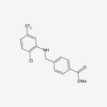 COC(=O)c1ccc(CNc2cc(C(F)(F)F)ccc2Cl)cc1